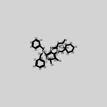 CCCc1nc2c(N(Cc3ccccc3)Cc3ccccc3)nc(C)c(C)c2n1CC1(O)CCCCC1